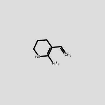 C=CC1=C(N)NCCC1